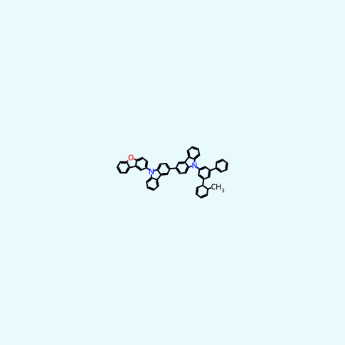 CC1C=CC=CC1c1cc(-c2ccccc2)cc(-n2c3ccccc3c3cc(-c4ccc5c(c4)c4ccccc4n5-c4ccc5oc6ccccc6c5c4)ccc32)c1